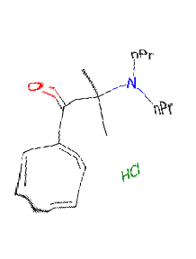 CCCN(CCC)C(C)(C)C(=O)c1ccccc1.Cl